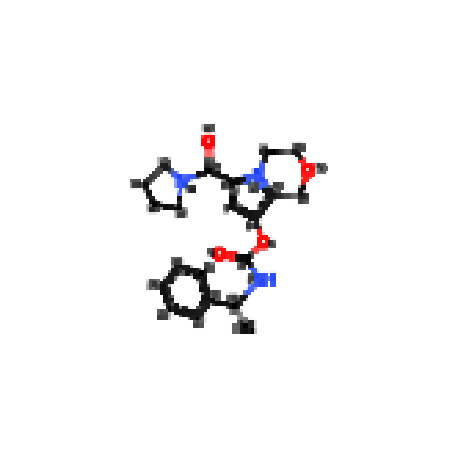 CC[C@@H](NC(=O)Oc1cc(C(=O)N2CCCC2)n2c1COCC2)c1ccccc1